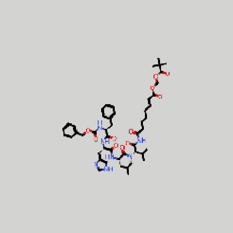 CC(C)C[C@H](NC(=O)[C@H](Cc1c[nH]cn1)NC(=O)[C@H](Cc1ccccc1)NC(=O)OCc1ccccc1)C(=O)N[C@H](C(=O)NC(=O)CCCCCCC(=O)OCOC(=O)C(C)(C)C)C(C)C